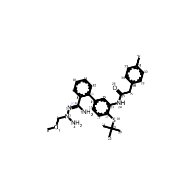 COCN(N)/N=C(\N)c1ccccc1-c1ccc(SC(C)(C)C)c(NC(=O)Cc2ccc(C)cc2)c1